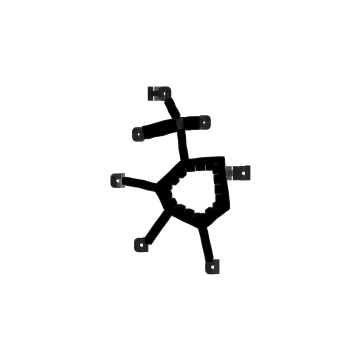 Cl.O=S(=O)(O)c1ccc(Cl)c(Cl)c1Cl